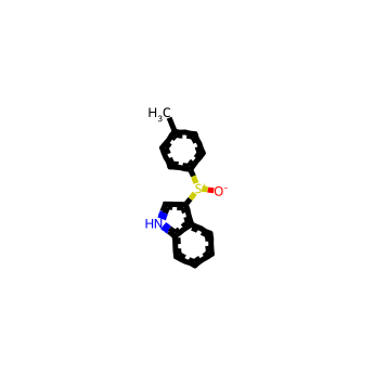 Cc1ccc([S+]([O-])c2c[nH]c3ccccc23)cc1